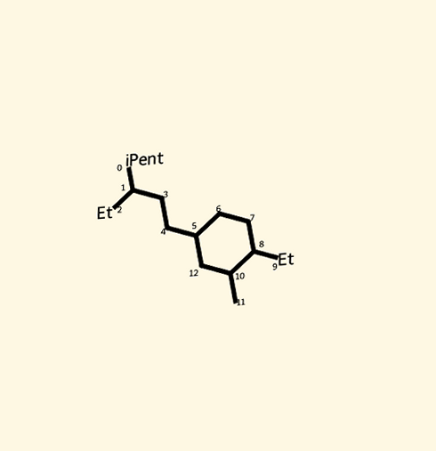 CCCC(C)C(CC)CCC1CCC(CC)C(C)C1